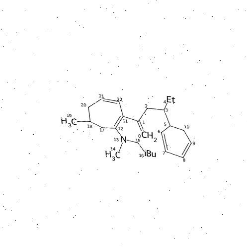 C=C(CC(CC)C1C=CC=CC1)C1=C(N(C)CC(C)CC)CC(C)CC=C1